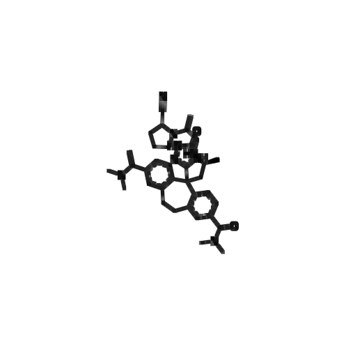 C=C(c1ccc2c(c1)CCc1cc(C(=O)N(C)C)ccc1C2(C[C@H](C)NCC(=C)N1CCCC1C#N)c1n[nH]c(=O)[nH]1)N(C)C